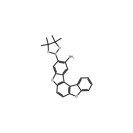 Bc1cc2c(cc1B1OC(C)(C)C(C)(C)O1)oc1ccc3oc4ccccc4c3c12